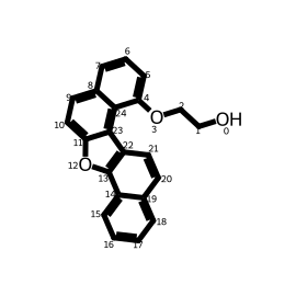 OCCOc1cccc2ccc3oc4c5ccccc5ccc4c3c12